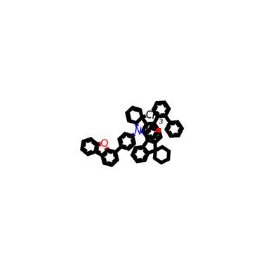 CC1(c2ccccc2-c2ccccc2-c2ccccc2)C=CC=CC1N(c1ccc(-c2cccc3c2oc2ccccc23)cc1)c1cccc2c1-c1ccccc1C21CCCCC1